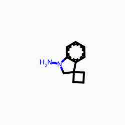 NN1CC2(CCC2)c2ccccc21